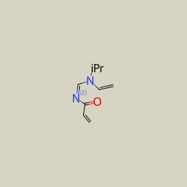 C=CC(=O)/N=C\N(C=C)C(C)C